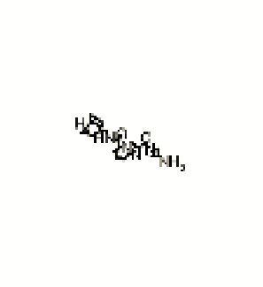 NC1CN(C(=O)c2cn3c(C(=O)NCC45CC6C[C@@H]6C6(CC6C4)C5)cccc3n2)C1